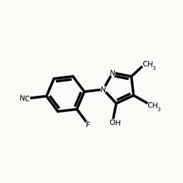 Cc1nn(-c2ccc(C#N)cc2F)c(O)c1C